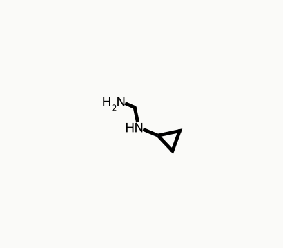 NCNC1CC1